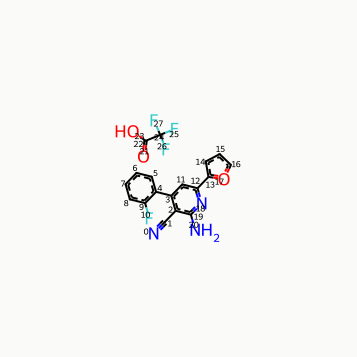 N#Cc1c(-c2ccccc2F)cc(-c2ccco2)nc1N.O=C(O)C(F)(F)F